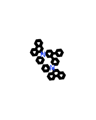 c1ccc(-c2ccc(N(c3ccccc3)c3cc4ccccc4c4ccccc34)cc2-c2cccc(N(c3ccccc3)c3cc4ccccc4c4ccccc34)c2)cc1